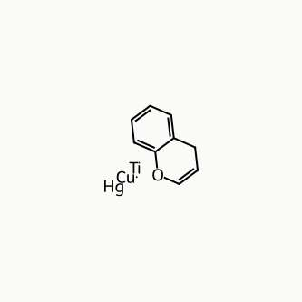 C1=COc2ccccc2C1.[Cu].[Hg].[Ti]